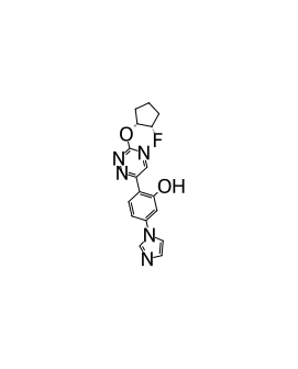 Oc1cc(-n2ccnc2)ccc1-c1cnc(O[C@@H]2CCC[C@@H]2F)nn1